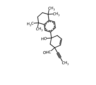 CC#CC1(C=O)C=CCC(O)(c2ccc3c(c2)C(C)(C)CCC3(C)C)C1